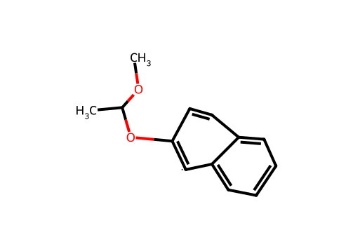 COC(C)Oc1[c]c2ccccc2cc1